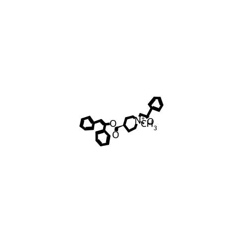 C[N@+]1(CC(=O)c2ccccc2)CC[C@H](C(=O)O/C(=C/c2ccccc2)c2ccccc2)CC1